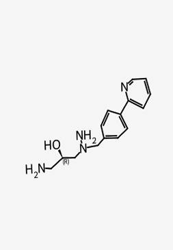 NC[C@@H](O)CN(N)Cc1ccc(-c2ccccn2)cc1